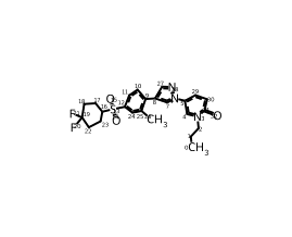 CCCn1cc(-n2cc(-c3ccc(S(=O)(=O)C4CCC(F)(F)CC4)cc3C)cn2)ccc1=O